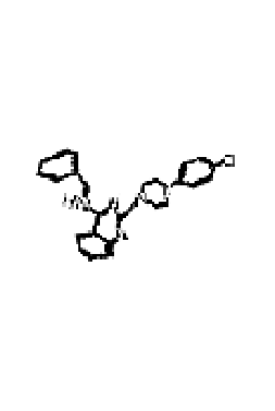 Clc1ccc(N2CCN(c3nc(NCc4ccccc4)c4ccccc4n3)CC2)cc1